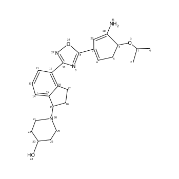 CC(C)OC1CC=C(c2nc(-c3cccc4c3CCC4N3CCC(O)CC3)no2)C=C1N